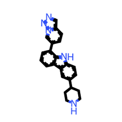 c1cc(-c2ccc3cnnn3c2)c2[nH]c3ccc(C4CCNCC4)cc3c2c1